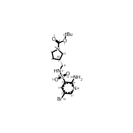 CC(C)(C)OC(=O)N1CC[C@@H](CNS(=O)(=O)c2cc(Br)cnc2N)C1